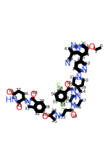 CCOc1cc(-c2ccc(N3CCC(CN4CCN(C(=O)CCN5CC(Oc6ccc7c(c6)CN(C6CCC(=O)NC6=O)C7=O)C5)CC4)(NC(=O)c4cc(F)ccc4F)CC3)nc2)c2c(C#N)cnn2c1